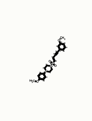 COc1ccc(N2CCN(S(=O)(=O)C=CC#Cc3cccc(OC)c3)CC2)cc1